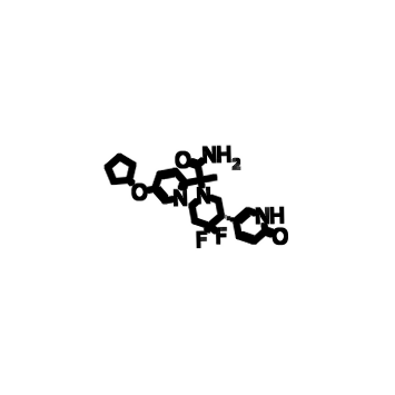 CC(C(N)=O)(c1ccc(OC2CCCC2)cn1)N1CCC(F)(F)[C@@H](c2ccc(=O)[nH]c2)C1